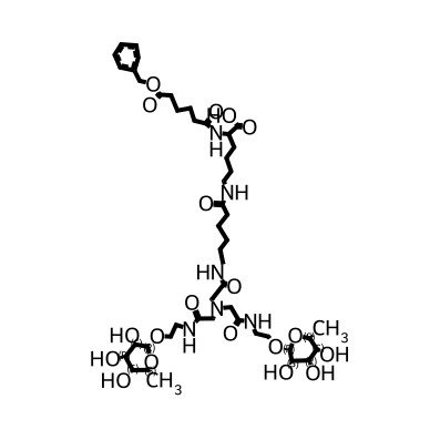 C[C@@H]1O[C@@H](OCCNC(=O)CN(CC(=O)NCCCCCC(=O)NCCCCC(NC(=O)CCCCC(=O)OCc2ccccc2)C(=O)O)CC(=O)NCCO[C@@H]2O[C@@H](C)[C@@H](O)[C@@H](O)[C@@H]2O)[C@@H](O)[C@H](O)[C@@H]1O